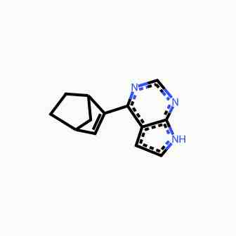 C1=C(c2ncnc3[nH]ccc23)C2CCC1C2